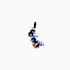 CC#CCOc1cnc2c(Nc3cnc(F)c([C@]4(C)CS(=O)(=O)C(C)(C)C(=N)N4)c3)nccc2c1